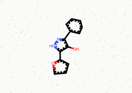 Oc1c(-c2ccccc2)n[nH]c1-c1ccco1